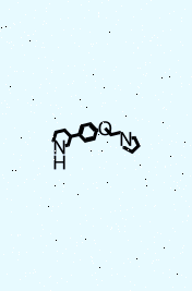 c1cc(C2CCCNC2)ccc1OCCN1CCCC1